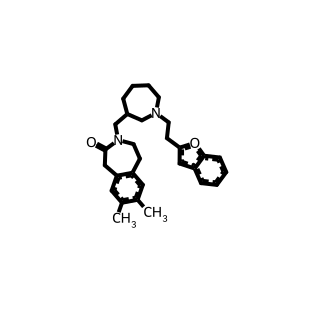 Cc1cc2c(cc1C)CC(=O)N(CC1CCCCN(CCc3cc4ccccc4o3)C1)CC2